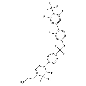 CCCC1=CC=C(c2ccc(C(F)(F)Oc3ccc(-c4cc(F)c(C(F)(F)F)c(F)c4)c(F)c3)cc2)C(F)C1(C)F